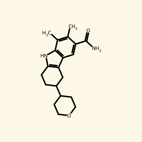 Cc1c(C(N)=O)cc2c3c([nH]c2c1C)CCC(C1CCOCC1)C3